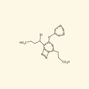 CCC(CCC(=O)O)c1c(Oc2ccccc2)cc(CCC(=O)O)c2c1N=N2